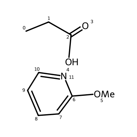 CCC(=O)O.COc1ccccn1